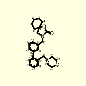 O=C1OC2(CCCCC2)CN1Cc1cccc(-c2ccccc2CN2CCOCC2)c1